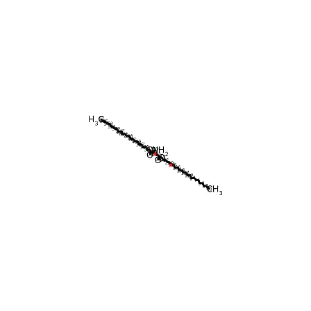 CCCCCCCCCCCCCCCCCCCCCCCCOC(=O)CCC(N)C(=O)OCCCCCCCCCCCCCCCCCCCCCCCC